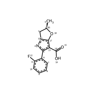 C[C@@H]1Cn2nc(-c3ccccc3F)c(C(=O)O)c2O1